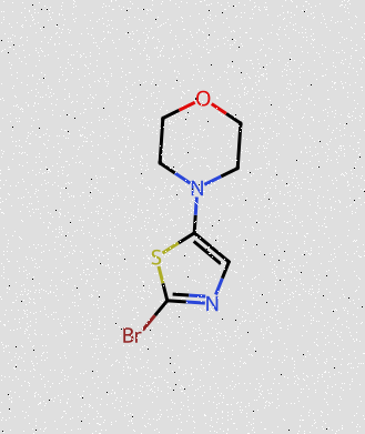 Brc1ncc(N2CCOCC2)s1